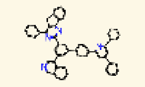 c1ccc(-c2cc(-c3ccccc3)nc(-c3ccc(-c4cc(-c5nc(-c6ccccc6)c6c(n5)-c5ccccc5C6)cc(-c5cncc6ccccc56)c4)cc3)c2)cc1